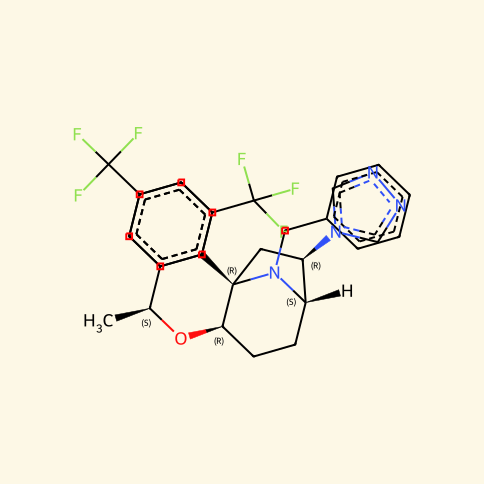 C[C@H](O[C@@H]1CC[C@H]2[C@H](n3cnnc3)C[C@]1(c1ccccc1)N2Cc1ccccc1)c1cc(C(F)(F)F)cc(C(F)(F)F)c1